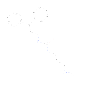 CN(C)CCCNC(=O)NCCC(c1ccccc1)c1ccccc1